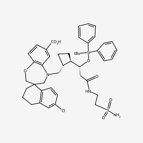 CC(C)(C)[Si](O[C@H](CC(=O)NCCS(N)(=O)=O)[C@@H]1CC[C@H]1CN1CC2(CCCc3cc(Cl)ccc32)COc2ccc(C(=O)O)cc21)(c1ccccc1)c1ccccc1